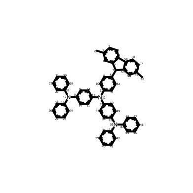 Cc1ccc2c(c1)C(c1ccc(N(c3ccc(N(c4ccccc4)c4ccccc4)cc3)c3ccc(N(c4ccccc4)c4ccccc4)cc3)cc1)c1cc(C)ccc1-2